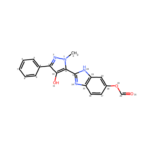 Cn1nc(-c2ccccc2)c(O)c1-c1nc2ccc(OC=O)cc2[nH]1